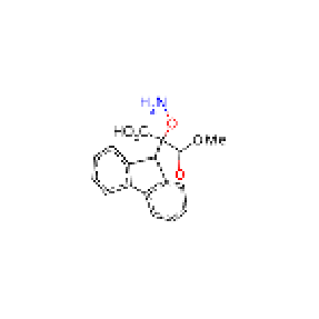 COC(=O)C(ON)(C(=O)O)C1c2ccccc2-c2ccccc21